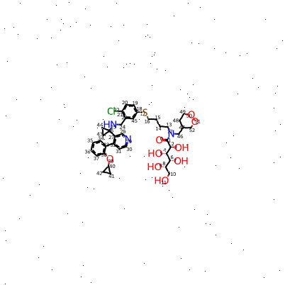 O=C([C@@H](O)[C@@H](O)[C@H](O)[C@@H](O)CO)N(CCCCSc1ccc(Cl)c(CNC2(c3cnccc3-c3ccccc3OC3CC3)CC2)c1)CC1CCOOC1